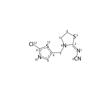 N#C/N=C1/SCCN1Cc1cnc(Cl)s1